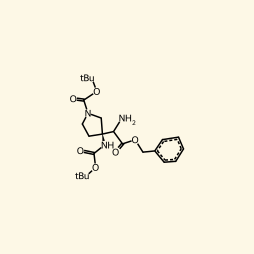 CC(C)(C)OC(=O)N[C@@]1(C(N)C(=O)OCc2ccccc2)CCN(C(=O)OC(C)(C)C)C1